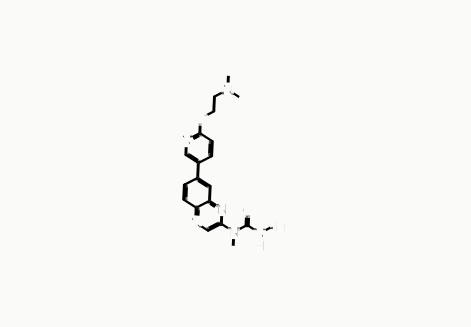 CC(C)NC(=O)N(C)c1cnc2ccc(-c3ccc(OCCN(C)C)nc3)cc2n1